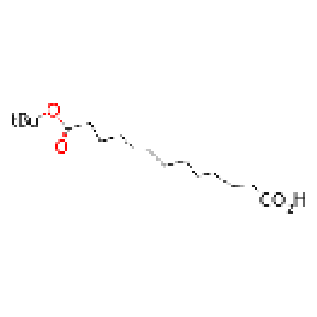 CC(C)(C)OC(=O)CCCCCCCCCCCC(=O)O